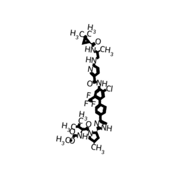 COC(=O)N[C@H](C(=O)N1C[C@@H](C)C[C@H]1c1nc(-c2ccc(-c3cc(Cl)c(NC(=O)c4ccc(NC[C@H](C)NC(=O)[C@H]5CC5(C)C)nc4)cc3C(F)(F)F)cc2)c[nH]1)C(C)C